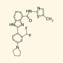 Cc1cnc(NC(=O)c2cccc3[nH]c(-c4ccc(N5CCCC5)cc4C(F)F)nc23)s1